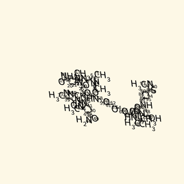 CCn1nc(C)cc1C(=O)N=c1n(C)c2cc(C(N)=O)ccc2n1CCC(CCn1c(=NC(=O)c2cc(C)nn2CC)n(C)c2cc(C(N)=O)ccc21)OCC(=O)NCCOCCOCCOCC(=O)N[C@H](C(=O)N1C[C@H](O)C[C@H]1C(=O)NCc1ccc(-c2scnc2C)cc1)C(C)(C)C